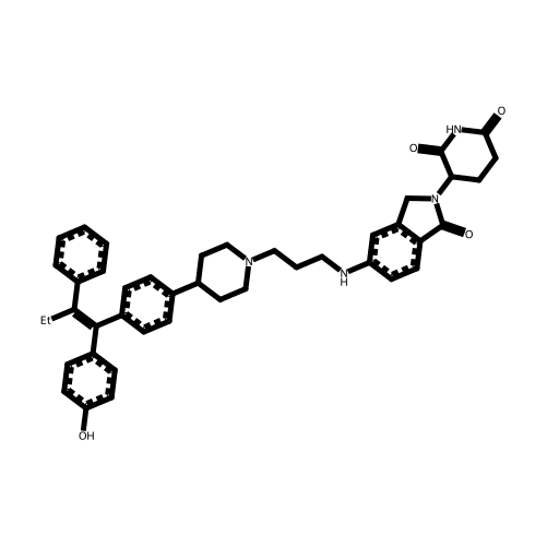 CC/C(=C(\c1ccc(O)cc1)c1ccc(C2CCN(CCCNc3ccc4c(c3)CN(C3CCC(=O)NC3=O)C4=O)CC2)cc1)c1ccccc1